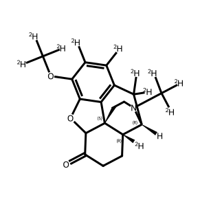 [2H]c1c([2H])c2c3c(c1OC([2H])([2H])[2H])OC1C(=O)CC[C@@]4([2H])[C@H](N(C([2H])([2H])[2H])CC[C@]314)C2([2H])[2H]